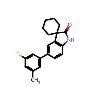 Cc1cc(F)cc(-c2ccc3c(c2)C2(CCCCC2)C(=O)N3)c1